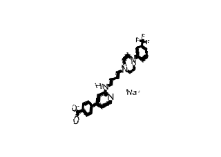 O=C([O-])c1ccc(-c2ccnc(NCCCCN3CCN(c4cccc(C(F)(F)F)c4)CC3)c2)cc1.[Na+]